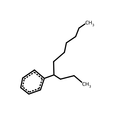 CCCCCCC(CCC)c1ccccc1